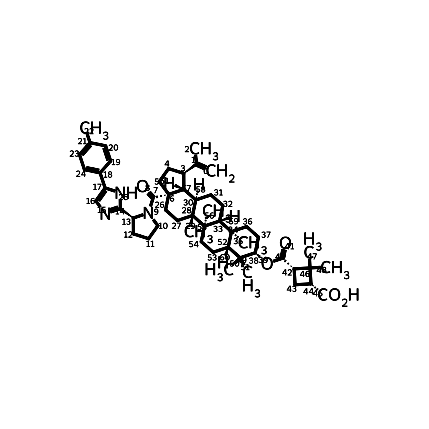 C=C(C)[C@@H]1CC[C@]2(C(=O)N3CCC[C@H]3c3ncc(-c4ccc(C)cc4)[nH]3)CC[C@]3(C)[C@H](CC[C@@H]4[C@@]5(C)CC[C@H](OC(=O)[C@H]6C[C@@H](C(=O)O)C6(C)C)C(C)(C)[C@@H]5CC[C@]43C)[C@@H]12